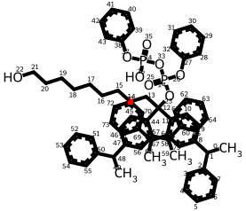 CC(c1ccccc1)c1ccc(C(CCCCCCCCCO)(OP(=O)(Oc2ccccc2)OP(=O)(O)Oc2ccccc2)c2ccc(C(C)c3ccccc3)cc2C(C)c2ccccc2)c(C(C)c2ccccc2)c1